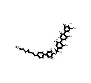 C=CCC/C=C/CCc1ccc(-c2cc(F)c(OC(F)(F)c3cc(F)c(-c4cc(F)c(-c5cc(F)c(F)c(F)c5)c(F)c4)c(Cl)c3)c(F)c2)cc1